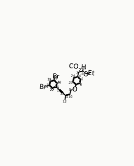 CCOC(Cc1ccc(OCC=C(C)C#Cc2cc(Br)cc(Br)c2)cc1)C(=O)O